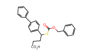 O=C(O)CCC(SC(=O)OCc1ccccc1)c1ccc(-c2ccccc2)cc1